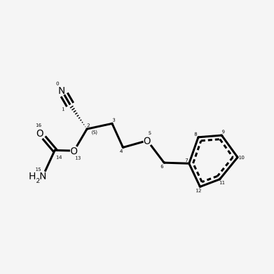 N#C[C@H](CCOCc1ccccc1)OC(N)=O